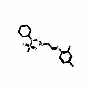 Cc1ccc(N=CCNSN(C2CCCCC2)S(C)(=O)=O)c(C)c1